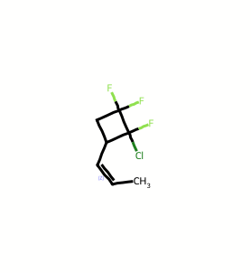 C/C=C\C1CC(F)(F)C1(F)Cl